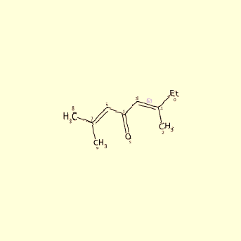 [CH2]C/C(C)=C/C(=O)C=C(C)C